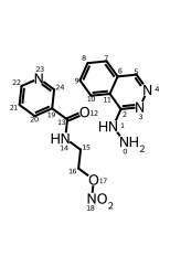 NNc1nncc2ccccc12.O=C(NCCO[N+](=O)[O-])c1cccnc1